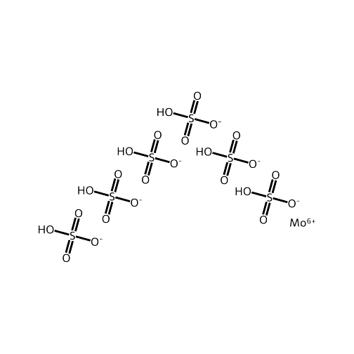 O=S(=O)([O-])O.O=S(=O)([O-])O.O=S(=O)([O-])O.O=S(=O)([O-])O.O=S(=O)([O-])O.O=S(=O)([O-])O.[Mo+6]